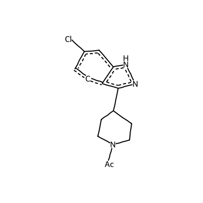 CC(=O)N1CCC(c2n[nH]c3cc(Cl)ccc23)CC1